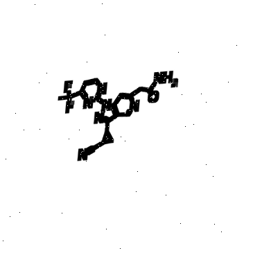 CC(F)(F)c1ccnc(-n2nc(C3CC3C#N)c3cnc(CC(N)=O)cc32)n1